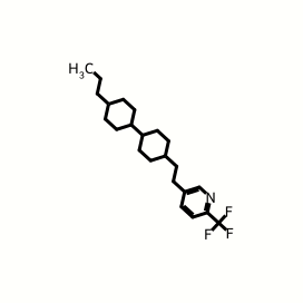 CCCC1CCC(C2CCC(CCc3ccc(C(F)(F)F)nc3)CC2)CC1